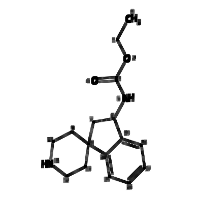 CCOC(=O)NC1CC2(CCNCC2)c2ccccc21